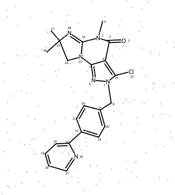 CN1C(=O)c2c(nn(Cc3ccc(-c4ccccn4)cc3)c2Cl)N2CC(C)(C)N=C12